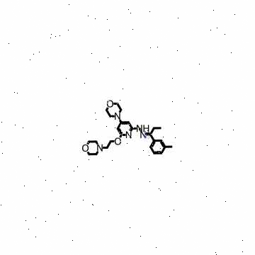 CC/C(=N\Nc1cc(N2CCOCC2)cc(OCCN2CCOCC2)n1)c1cccc(C)c1